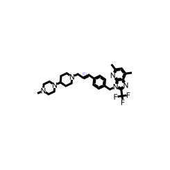 Cc1cc(C)c2nc(C(F)(F)F)n(Cc3ccc(/C=C/CN4CCC(N5CCN(C)CC5)CC4)cc3)c2n1